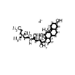 C=CC[N+](C)(C)CCNC(=O)CC[C@@H](C)[C@H]1CCC2C3CCC4C[C@H](O)CC[C@]4(C)C3C[C@H](O)[C@@]21C.[I-]